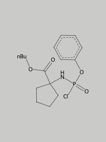 CCCCOC(=O)C1(NP(=O)(Cl)Oc2ccccc2)CCCC1